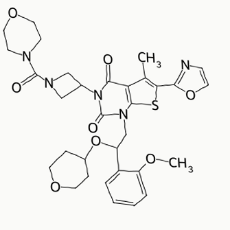 COc1ccccc1C(Cn1c(=O)n(C2CN(C(=O)N3CCOCC3)C2)c(=O)c2c(C)c(-c3ncco3)sc21)OC1CCOCC1